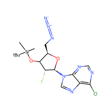 CC(C)(C)[Si](C)(C)OC1[C@@H](F)[C@H](n2cnc3c(Cl)ncnc32)O[C@@H]1CN=[N+]=[N-]